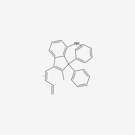 C=C/C=C\C1=C(C)C(c2ccccc2)(c2ccccc2)c2c(N)cccc21